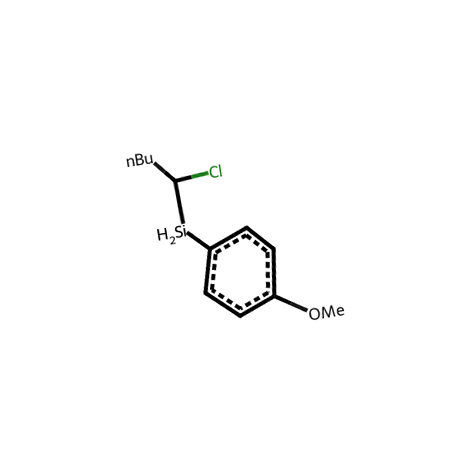 CCCCC(Cl)[SiH2]c1ccc(OC)cc1